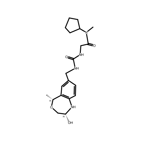 C[C@H]1OC[C@@H](O)Nc2ccc(CNC(=O)NCC(=O)N(C)C3CCCC3)cc21